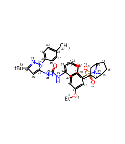 CCOc1ccc(OCC)c(S(=O)(=O)N2C3CCC2CC(Cc2cccc(NC(=O)Nc4cc(C(C)(C)C)nn4-c4ccc(C)cc4)c2)C3)c1